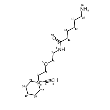 C#C[N+]1(CCOCCNC(=O)CCCCCN)CCCCC1